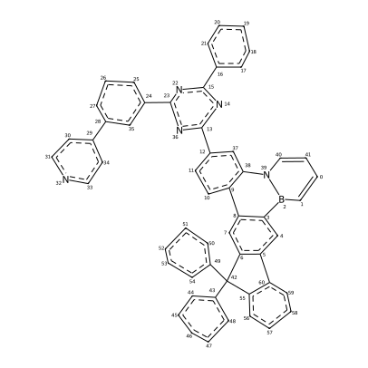 C1=CB2c3cc4c(cc3-c3ccc(-c5nc(-c6ccccc6)nc(-c6cccc(-c7ccncc7)c6)n5)cc3N2C=C1)C(c1ccccc1)(c1ccccc1)c1ccccc1-4